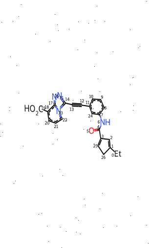 CCC1=CC(C(=O)Nc2cccc(C#Cc3nnc4c(C(=O)O)cccn34)c2)=CC1